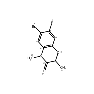 CC1Oc2cc(F)c(Br)cc2N(C)C1=O